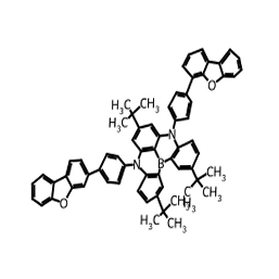 CC(C)(C)c1ccc2c(c1)B1c3cc(C(C)(C)C)ccc3N(c3ccc(-c4cccc5c4oc4ccccc45)cc3)c3cc(C(C)(C)C)cc(c31)N2c1ccc(-c2ccc3c(c2)oc2ccccc23)cc1